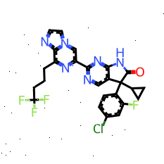 O=C1Nc2nc(-c3cn4ccnc4c(CCCC(F)(F)F)n3)ncc2C1(c1ccc(Cl)cc1F)C1CC1